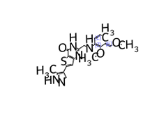 C\C=C/C(NCc1nc2cc(-c3cn[nH]c3C)sc2c(=O)[nH]1)=C(\C=C\OC)OC